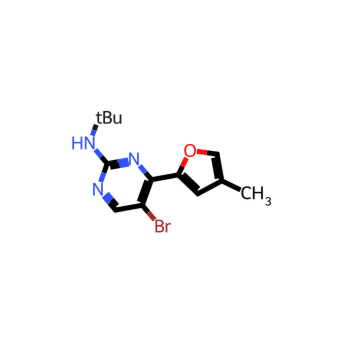 Cc1coc(-c2nc(NC(C)(C)C)ncc2Br)c1